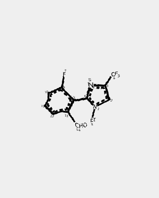 CCn1cc(C(F)(F)F)nc1-c1c(F)cccc1C=O